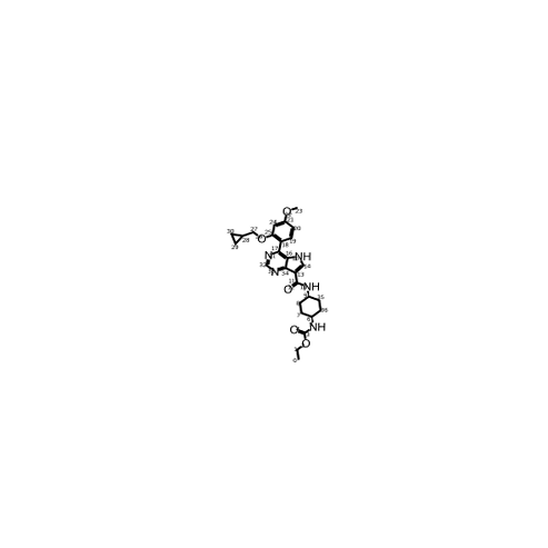 CCOC(=O)N[C@H]1CC[C@@H](NC(=O)c2c[nH]c3c(-c4ccc(OC)cc4OCC4CC4)ncnc23)CC1